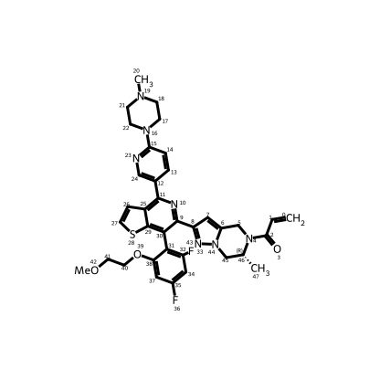 C=CC(=O)N1Cc2cc(-c3nc(-c4ccc(N5CCN(C)CC5)nc4)c4ccsc4c3-c3c(F)cc(F)cc3OCCOC)nn2C[C@H]1C